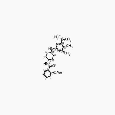 COc1ccccc1C(=O)NC1CCC(Nc2nc(C)c(C)c(N(C)C)n2)CC1